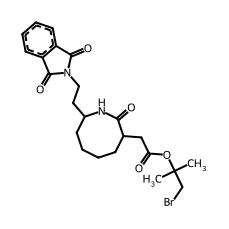 CC(C)(CBr)OC(=O)CC1CCCCC(CCN2C(=O)c3ccccc3C2=O)NC1=O